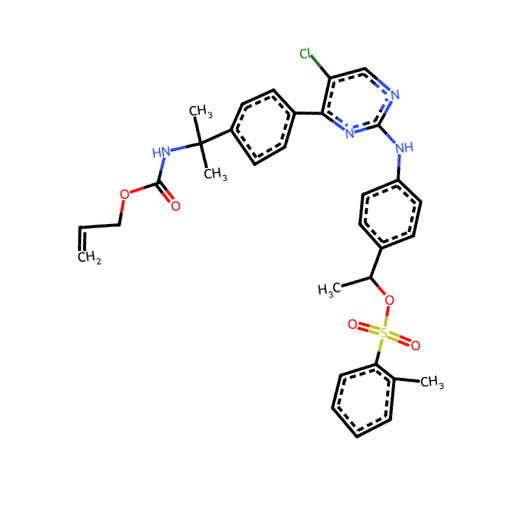 C=CCOC(=O)NC(C)(C)c1ccc(-c2nc(Nc3ccc(C(C)OS(=O)(=O)c4ccccc4C)cc3)ncc2Cl)cc1